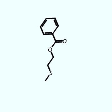 CSCCOC(=O)c1ccccc1